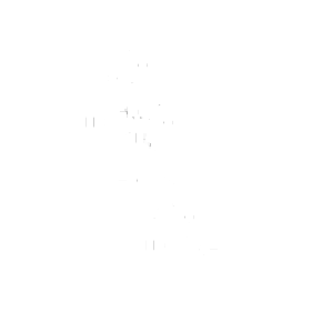 CC(/C=C/C12OC1(C)CC1(CC2(C)C)OCCO1)=C\C(=O)OC(C)C